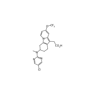 CN(c1ncc(Cl)cn1)C1CCc2c(CC(=O)O)c3cc(OC(F)(F)F)ccn3c2C1